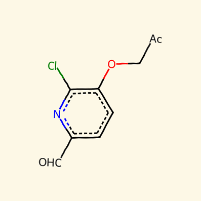 CC(=O)COc1ccc(C=O)nc1Cl